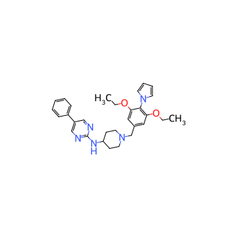 CCOc1cc(CN2CCC(Nc3ncc(-c4ccccc4)cn3)CC2)cc(OCC)c1-n1cccc1